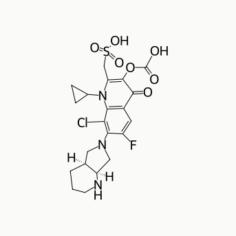 O=C(O)Oc1c(CS(=O)(=O)O)n(C2CC2)c2c(Cl)c(N3C[C@@H]4CCCN[C@@H]4C3)c(F)cc2c1=O